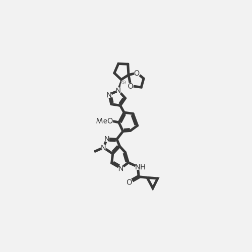 COc1c(-c2cnn([C@H]3CCCC34OCCO4)c2)cccc1-c1nn(C)c2cnc(NC(=O)C3CC3)cc12